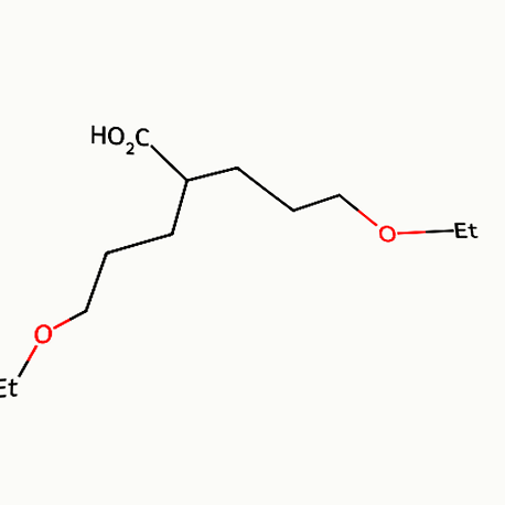 CCOCCCC(CCCOCC)C(=O)O